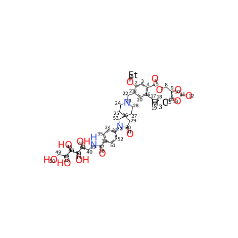 CCOc1cc(C(=O)OCc2oc(=O)oc2C)c(C2CC2)cc1CN1CCC2(CC1)CC(=O)N(c1ccc(C(=O)NC[C@H](O)[C@@H](O)[C@H](O)[C@H](O)CO)cc1)C2